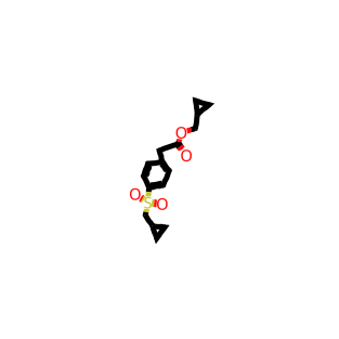 O=C(Cc1ccc(S(=O)(=O)CC2CC2)cc1)OCC1CC1